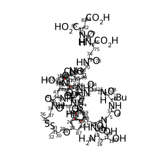 CC[C@H](C)[C@@H]1NC(=O)CNC(=O)C(NC(=O)[C@@H](N)[C@@H](C)[C@@H](O)CO)Cc2c([nH]c3cc(OCCC(C)SSC(C)CCNC(=O)[C@H](Cc4ccccc4)NC(=O)[C@H](Cc4ccccc4)NC(=O)CCCCCCCNC(=O)CCC(NC(=O)NC(CCC(=O)O)C(=O)O)C(=O)O)ccc23)[S+]([O-])CC(C(=O)N[C@@H](CC(N)=O)C(=O)N2C[C@H](O)C[C@]2(C)C=O)NC(=O)CNC1=O